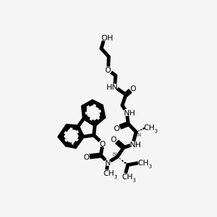 CC(C)[C@@H](C(=O)N[C@@H](C)C(=O)NCC(=O)NCOCCO)N(C)C(=O)OC1c2ccccc2-c2ccccc21